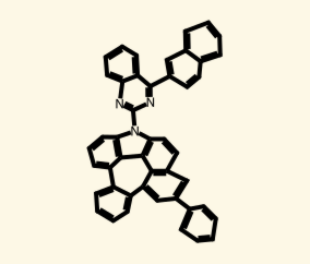 c1ccc(-c2cc3c4c(ccc5c4c4c(cccc4n5-c4nc(-c5ccc6ccccc6c5)c5ccccc5n4)-c4ccccc4-3)c2)cc1